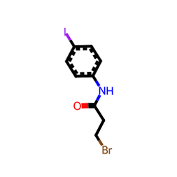 O=C(CCBr)Nc1ccc(I)cc1